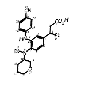 CCC(CC(=O)O)c1ccc(N(CC)C2CCCOC2)c(Nc2ccc(C#N)cc2)c1